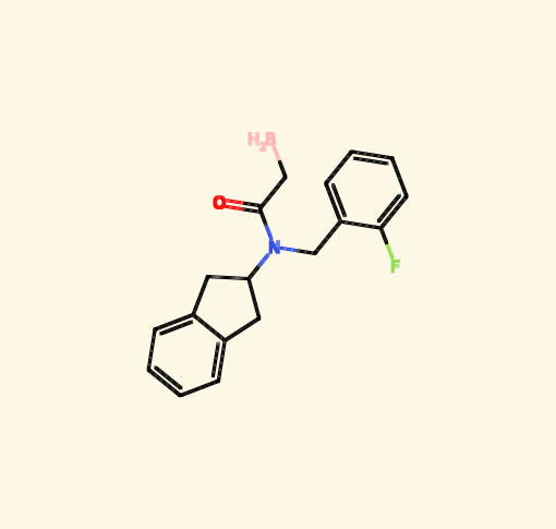 BCC(=O)N(Cc1ccccc1F)C1Cc2ccccc2C1